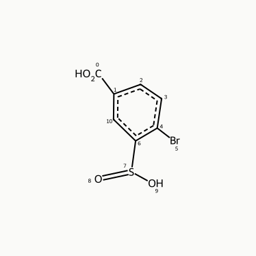 O=C(O)c1ccc(Br)c(S(=O)O)c1